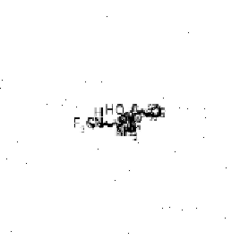 N[C@@H](CCCCNCC(F)(F)F)C(=O)N1CCC[C@H]1C(=O)O[C@@H](CCc1ccccc1)C(=O)O